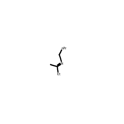 [CH2]CC[CH]/N=C(\C)CC